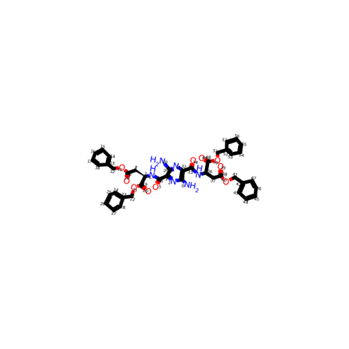 Nc1nc(C(=O)N[C@H](CC(=O)OCc2ccccc2)C(=O)OCc2ccccc2)c(N)nc1C(=O)NC(CC(=O)OCc1ccccc1)C(=O)OCc1ccccc1